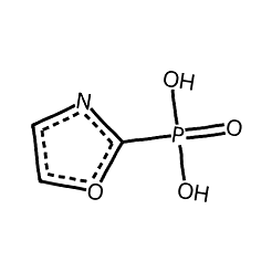 O=P(O)(O)c1ncco1